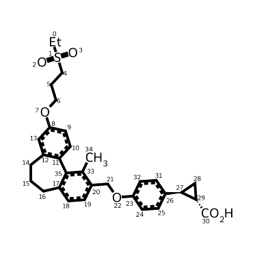 CCS(=O)(=O)CCCOc1ccc2c(c1)CCCc1ccc(COc3ccc([C@H]4C[C@@H]4C(=O)O)cc3)c(C)c1-2